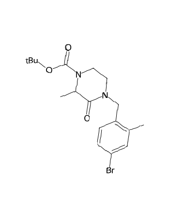 Cc1cc(Br)ccc1CN1CCN(C(=O)OC(C)(C)C)C(C)C1=O